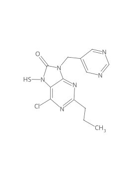 CCCc1nc(Cl)c2c(n1)n(Cc1cncnc1)c(=O)n2S